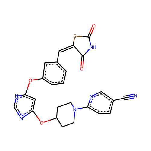 N#Cc1ccc(N2CCC(Oc3cc(Oc4cccc(C=C5SC(=O)NC5=O)c4)ncn3)CC2)nc1